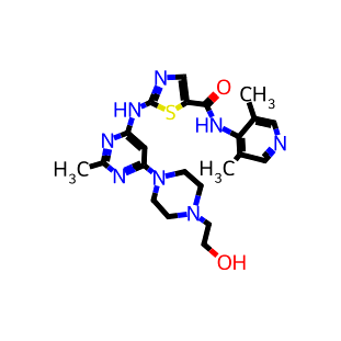 Cc1nc(Nc2ncc(C(=O)Nc3c(C)cncc3C)s2)cc(N2CCN(CCO)CC2)n1